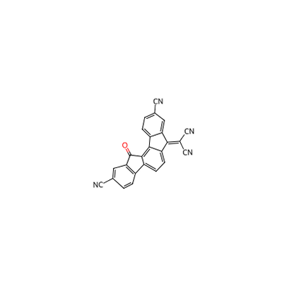 N#CC(C#N)=C1c2cc(C#N)ccc2-c2c1ccc1c2C(=O)c2cc(C#N)ccc2-1